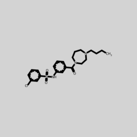 CCCCN1CCCN(C(=O)c2cccc(NS(=O)(=O)c3cccc(Cl)c3)c2)CC1